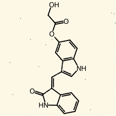 O=C(CO)Oc1ccc2[nH]cc(/C=C3/C(=O)Nc4ccccc43)c2c1